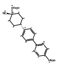 CCCCCCCCCc1cnc(-c2ccc([C@H]3CC[C@@](C#N)(CCCCCCC)CC3)cc2)nc1